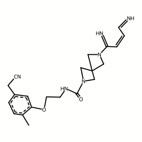 Cc1ccc(CC#N)cc1OCCNC(=O)N1CC2(CN(C(=N)/C=C\C=N)C2)C1